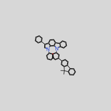 CC1(C)c2ccccc2-c2ccc(-c3cccc(-n4c5ccccc5c5ccc6c(-c7ccccc7)cn(-c7ccccc7)c6c54)c3)cc21